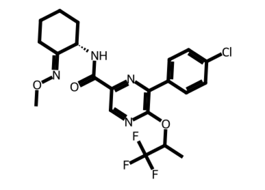 CON=C1CCCC[C@@H]1NC(=O)c1cnc(OC(C)C(F)(F)F)c(-c2ccc(Cl)cc2)n1